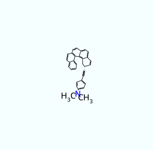 CN(C)c1ccc(C#C[C@H]2C=Cc3ccc4ccc5ccc6ccccc6c5c4c3C2)cc1